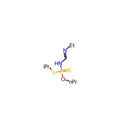 CCCOP(=S)(NC=NCC)SC(C)C